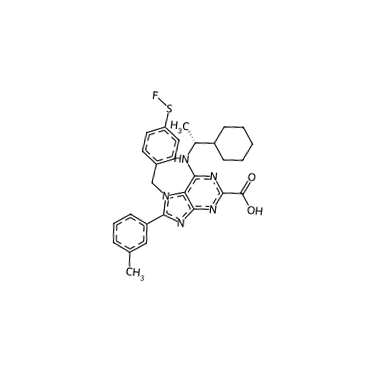 Cc1cccc(-c2nc3nc(C(=O)O)nc(N[C@H](C)C4CCCCC4)c3n2Cc2ccc(SF)cc2)c1